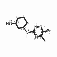 Cc1nc(N[C@@H]2CCC[C@H](O)C2)nnc1Br